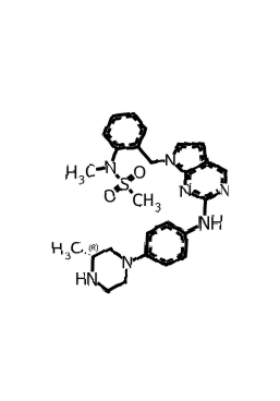 C[C@@H]1CN(c2ccc(Nc3ncc4ccn(Cc5ccccc5N(C)S(C)(=O)=O)c4n3)cc2)CCN1